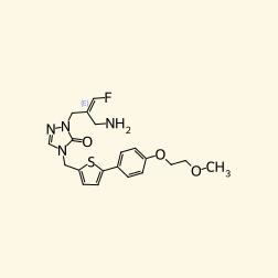 COCCOc1ccc(-c2ccc(Cn3cnn(C/C(=C/F)CN)c3=O)s2)cc1